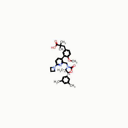 COc1ccc(CC(C)(C)C(=O)O)cc1-c1ccc(N2CCC2)nc1CN1C(=O)O[C@H](c2cc(C)cc(C)c2)[C@@H]1C